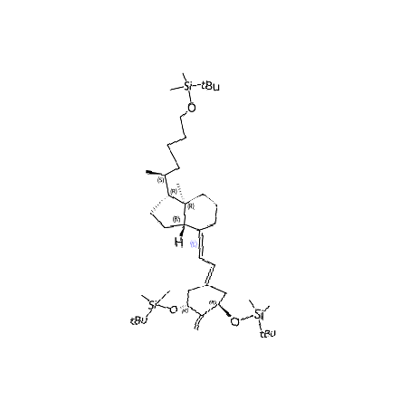 C=C1[C@H](O[Si](C)(C)C(C)(C)C)CC(=C/C=C2\CCC[C@]3(C)[C@@H]([C@@H](C)CCCCO[Si](C)(C)C(C)(C)C)CC[C@@H]23)C[C@H]1O[Si](C)(C)C(C)(C)C